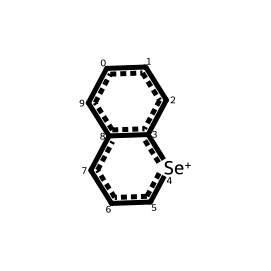 c1ccc2[se+]cccc2c1